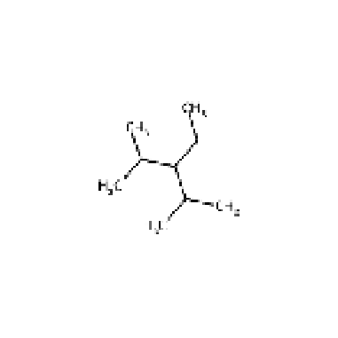 CCC(C(C)C)C(C)C